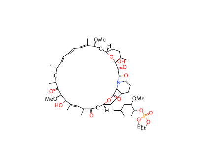 CCOP(=O)(OCC)O[C@@H]1CCC(C[C@H]2C3CCCN4C(=O)C(=O)C5(O)O[C@@H](CCC5C)C[C@H](OC)/C(C)=C/C=C/C=C/[C@@H](C)CC(C)C(=O)[C@H](OC)C(O)/C(C)=C/C(C)C(=O)C[C@@H]2OC(=O)C34)CC1OC